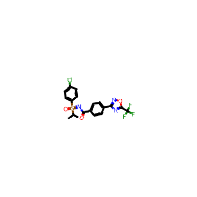 CC(C)S(=O)(=NC(=O)c1ccc(-c2noc(C(F)(F)F)n2)cc1)c1ccc(Cl)cc1